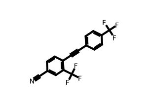 N#Cc1ccc(C#Cc2ccc(C(F)(F)F)cc2)c(C(F)(F)F)c1